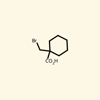 O=C(O)C1(CBr)CCCCC1